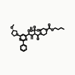 CCCCOC(=O)N1CCN(C(=O)C(NC(=O)c2cc(N3CC[C@H](OC)C3)nc(-c3ccccc3)n2)P(=O)(O)O)CC1